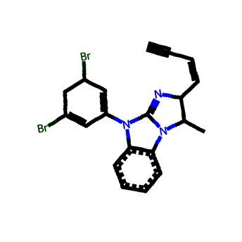 C#C/C=C\C1N=C2N(C3=CC(Br)CC(Br)=C3)c3ccccc3N2C1C